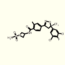 Cc1cc(C2=NO[C@@](c3cc(Cl)c(F)c(Cl)c3)(C(F)(F)F)C2)ccc1C(=O)NC1CN(S(N)(=O)=O)C1